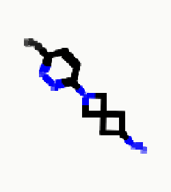 CC(C)(C)c1ccc(N2CC3(CC(N)C3)C2)nn1